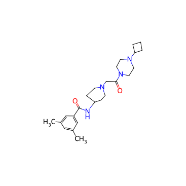 Cc1cc(C)cc(C(=O)NC2CCN(CC(=O)N3CCN(C4CCC4)CC3)CC2)c1